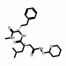 CNC(=O)[C@H](CCc1ccccc1)NC(=O)[C@@H](CC(=O)NOC1CCCCO1)CC(C)C